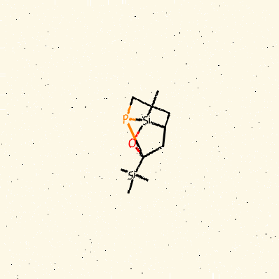 CC12CC3CC4([Si](C)(C)C)O[Si]31P4C2